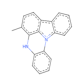 Cc1ccc2c3ccccc3n3c2c1Nc1ccccc1-3